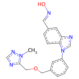 Cn1ncnc1COCc1cccc(-n2cnc3cc(C=NO)ccc32)c1